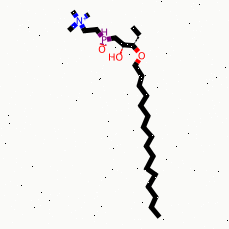 CCCCCCCCCCCCCCCCO[C@@H](CC)[C@H](O)C[PH](=O)CC[N+](C)(C)C